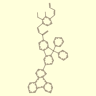 C=C/C=C\c1ccc(/C=C\C(=C)c2ccc3c(c2)C(c2ccccc2)(c2ccccc2)c2ccc(-c4ccc5c6ccccc6c6ccccc6c5c4)cc2-3)c(CC)c1C